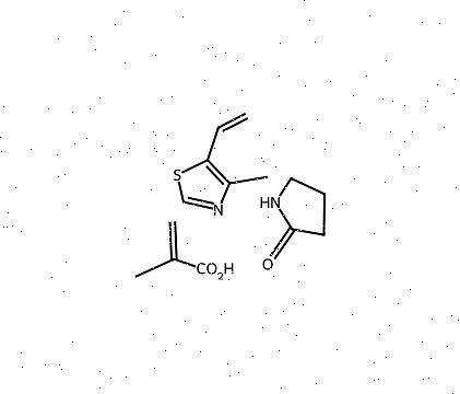 C=C(C)C(=O)O.C=Cc1scnc1C.O=C1CCCN1